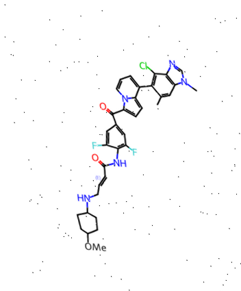 COC1CCC(NC/C=C/C(=O)Nc2c(F)cc(C(=O)c3ccc4c(-c5c(C)cc6c(ncn6C)c5Cl)cccn34)cc2F)CC1